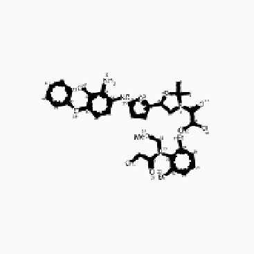 CC1(C)OC(c2ccco2)CN1C(=O)C(Cl)Cl.CCc1cccc(CC)c1N(COC)C(=O)CCl.Nc1c([N+](=O)[O-])ccc(Oc2ccccc2)c1Cl